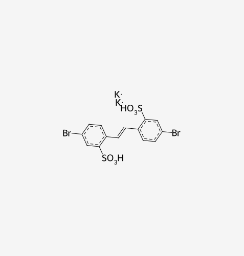 O=S(=O)(O)c1cc(Br)ccc1C=Cc1ccc(Br)cc1S(=O)(=O)O.[K].[K]